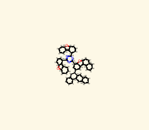 c1ccc2c(c1)CC(c1cc(-c3nc(-c4cccc5oc6ccccc6c45)nc(-c4cccc5oc6ccccc6c45)n3)c3oc4ccc5ccccc5c4c3c1)c1cc3ccccc3cc1-2